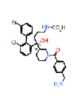 CCc1cccc(-c2c(Cl)cccc2[C@@](O)(CCCNC(=O)O)[C@@H]2CCCN(C(=O)c3ccc(CN)cc3)C2)c1